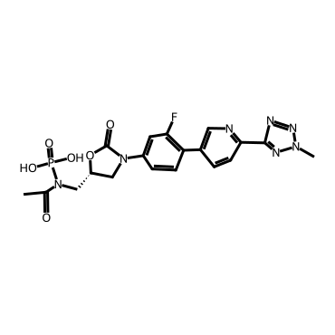 CC(=O)N(C[C@H]1CN(c2ccc(-c3ccc(-c4nnn(C)n4)nc3)c(F)c2)C(=O)O1)P(=O)(O)O